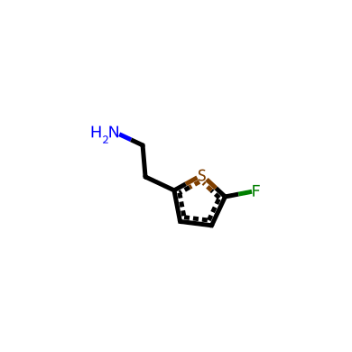 NCCc1ccc(F)s1